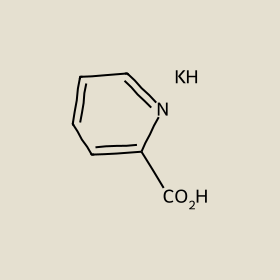 O=C(O)c1ccccn1.[KH]